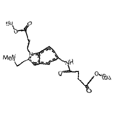 CNCc1cc2cc(NC(=O)CCC(=O)OC(C)(C)C)ccc2n1CCC(=O)OC(C)(C)C